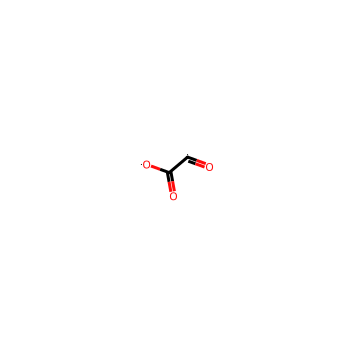 [O]C(=O)[C]=O